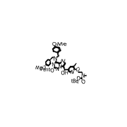 CCCC(C)Oc1nc(N(Cc2ccc(OC)cc2)Cc2ccc(OC)cc2)c2ncc(C(O)c3cnc(OCCN(C)C(=O)OC(C)(C)C)c(C)c3)n2n1